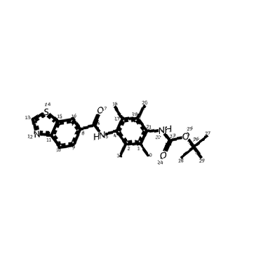 Cc1c(C)c(NC(=O)c2ccc3n[c]sc3c2)c(C)c(C)c1NC(=O)OC(C)(C)C